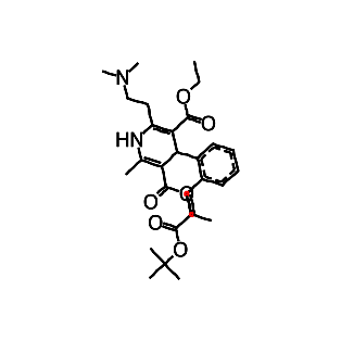 CCOC(=O)C1=C(C)NC(CCN(C)C)=C(C(=O)OCC)C1c1ccccc1C=CC(=O)OC(C)(C)C